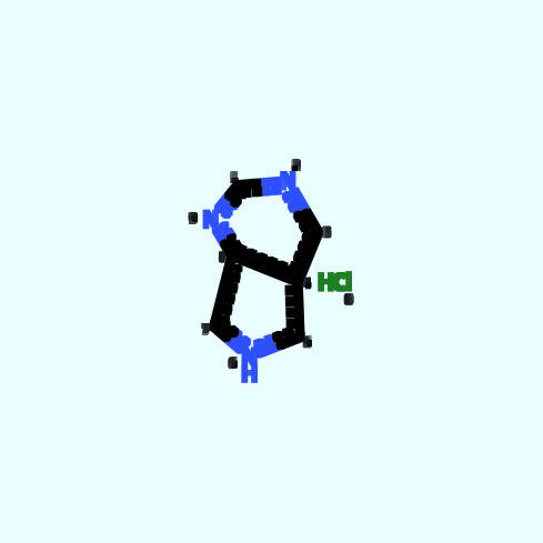 Cl.c1ncc2c[nH]cc2n1